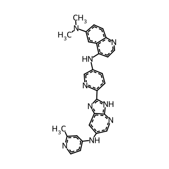 Cc1cc(Nc2cnc3[nH]c(-c4ccc(Nc5ccnc6ccc(N(C)C)cc56)cn4)nc3c2)ccn1